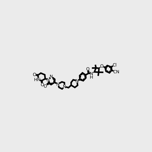 CC1(C)[C@H](NC(=O)c2ccc(N3CCC(CN4CCN(c5cnn(C6CCC(=O)NC6=O)c(=O)c5)CC4)CC3)cc2)C(C)(C)[C@H]1Oc1ccc(C#N)c(Cl)c1